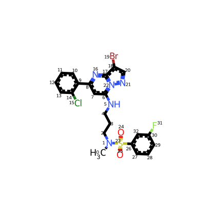 CN(CCCNc1cc(-c2ccccc2Cl)nc2c(Br)cnn12)S(=O)(=O)c1cccc(F)c1